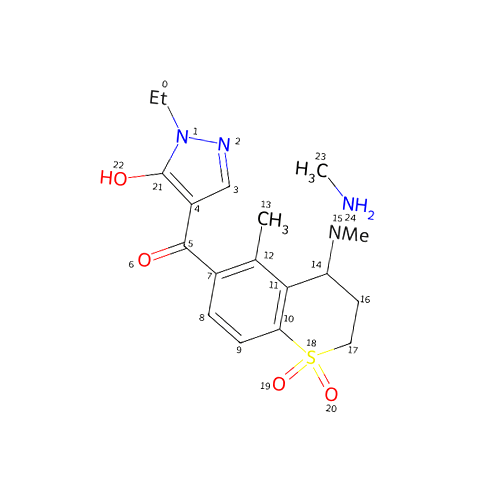 CCn1ncc(C(=O)c2ccc3c(c2C)C(NC)CCS3(=O)=O)c1O.CN